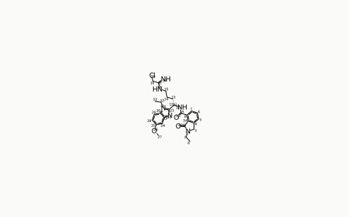 CCN1Cc2cccc(C(=O)N[C@@H](CCCNC(=N)CCl)c3nc4cc(OC)ccc4n3CC)c2C1=O